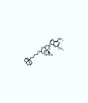 C#C[C@]1(CO)O[C@@H](n2cnc3c(N)nc(C)nc32)C[C@@H]1OC(=O)OCCCCC12CC3CC(CC(C3)C1)C2